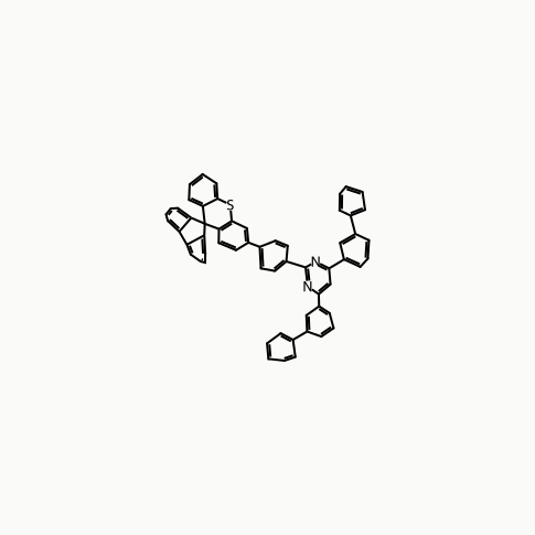 c1ccc(-c2cccc(-c3cc(-c4cccc(-c5ccccc5)c4)nc(-c4ccc(-c5ccc6c(c5)Sc5ccccc5C65c6ccccc6-c6ccccc65)cc4)n3)c2)cc1